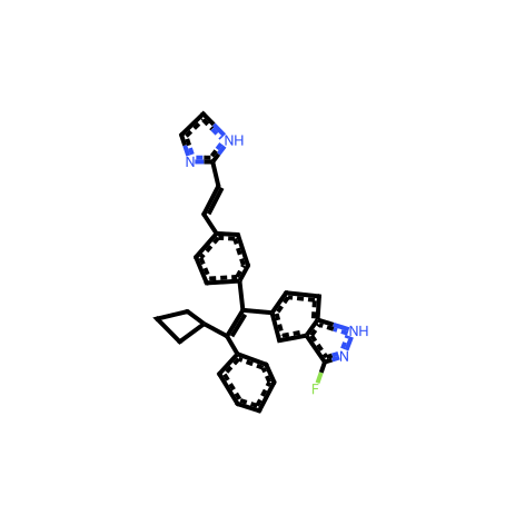 Fc1n[nH]c2ccc(C(=C(c3ccccc3)C3CCC3)c3ccc(C=Cc4ncc[nH]4)cc3)cc12